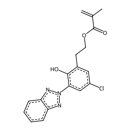 C=C(C)C(=O)OCCc1cc(Cl)cc(-n2nc3ccccc3n2)c1O